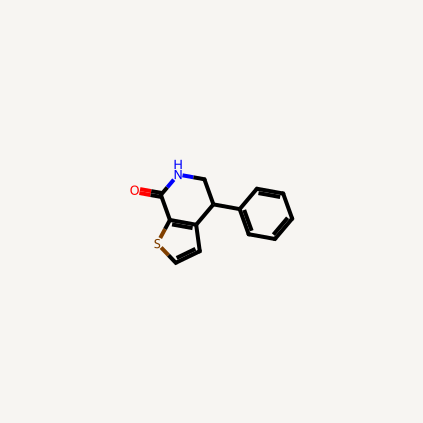 O=C1NCC(c2ccccc2)c2ccsc21